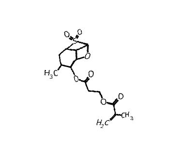 C=C(C)C(=O)OCCC(=O)OC1C(C)CC2C3C1OC3S2(=O)=O